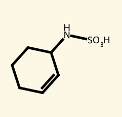 O=S(=O)(O)NC1C=CCCC1